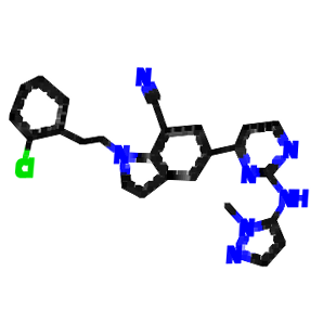 Cn1nccc1Nc1nccc(-c2cc(C#N)c3c(ccn3CCc3ccccc3Cl)c2)n1